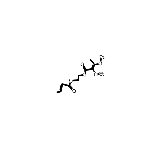 CC=CC(=O)OCCOC(=O)C(OCC)=C(C)OCC